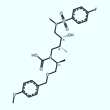 COc1ccc(COC[C@H](C)N(C[C@@H](C)[C@@H](O)CN(C)S(=O)(=O)c2ccc(F)cc2)C(=O)O)cc1